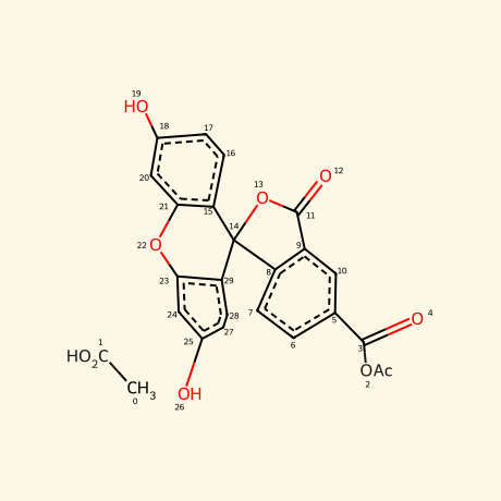 CC(=O)O.CC(=O)OC(=O)c1ccc2c(c1)C(=O)OC21c2ccc(O)cc2Oc2cc(O)ccc21